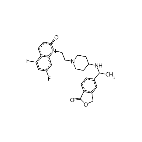 CC(NC1CCN(CCn2c(=O)ccc3c(F)cc(F)cc32)CC1)c1ccc2c(c1)COC2=O